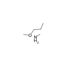 CCCOC.CN